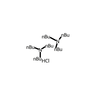 CCCCN(CCCC)CCCC.CCCCN(CCCC)CCCC.Cl